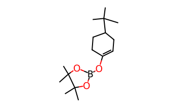 CC(C)(C)C1CC=C(OB2OC(C)(C)C(C)(C)O2)CC1